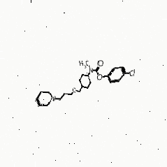 CN(C(=O)Oc1ccc(Cl)cc1)C1CCC(COCCCN2CCCCC2)CC1